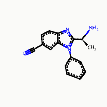 C[C@H](N)c1nc2ccc(C#N)cc2n1-c1ccccc1